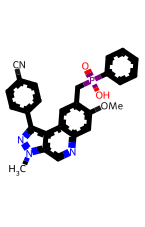 COc1cc2ncc3c(c(-c4ccc(C#N)cc4)nn3C)c2cc1CP(=O)(O)c1ccccc1